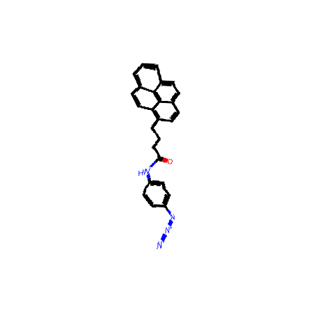 [N-]=[N+]=Nc1ccc(NC(=O)CCCc2ccc3ccc4cccc5ccc2c3c45)cc1